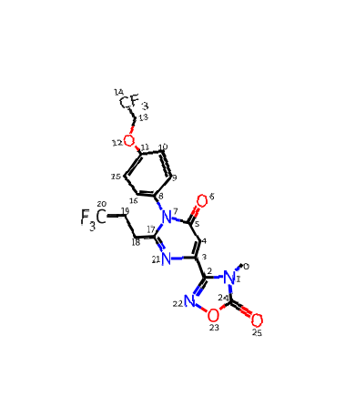 Cn1c(-c2cc(=O)n(-c3ccc(OCC(F)(F)F)cc3)c(CCC(F)(F)F)n2)noc1=O